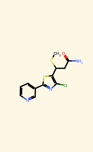 CSC(CC(N)=O)c1sc(-c2cccnc2)nc1Cl